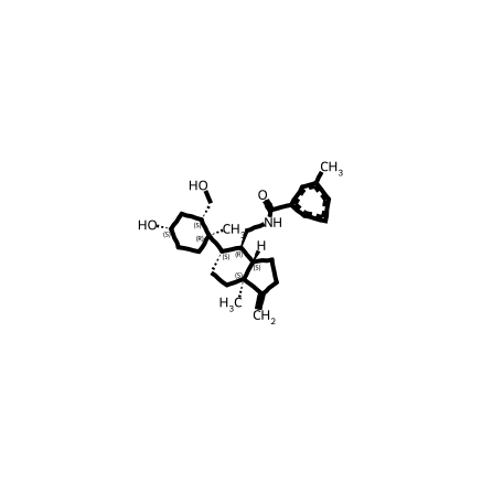 C=C1CC[C@H]2[C@H](CNC(=O)c3cccc(C)c3)[C@@H]([C@@]3(C)CC[C@H](O)C[C@@H]3CO)CC[C@]12C